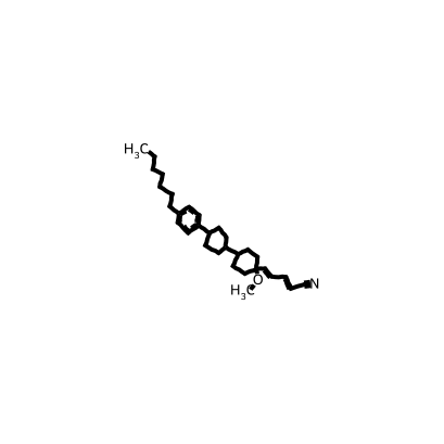 CCCCCCCc1ccc(C2CCC(C3CCC(C=CC=CC#N)(OC)CC3)CC2)cc1